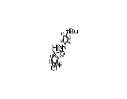 CC(C)(C)c1ccc(CNC(=O)Cc2ccc(Cl)c(F)c2)cc1